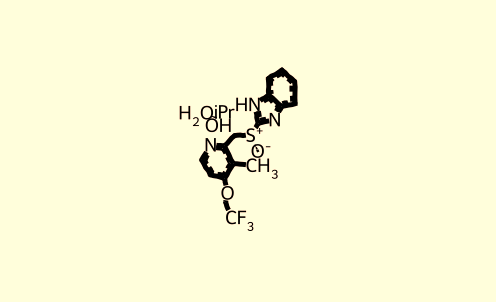 CC(C)O.Cc1c(OCC(F)(F)F)ccnc1C[S@@+]([O-])c1nc2ccccc2[nH]1.O